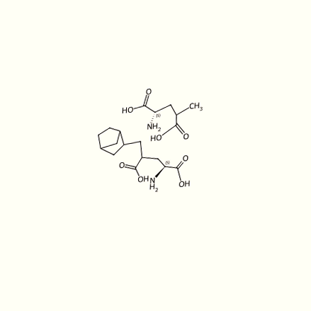 CC(C[C@H](N)C(=O)O)C(=O)O.N[C@@H](CC(CC1CC2CCC1C2)C(=O)O)C(=O)O